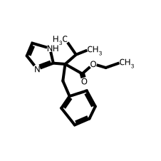 CCOC(=O)C(Cc1ccccc1)(c1ncc[nH]1)C(C)C